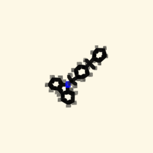 CC(C)(c1ccccc1)c1ccc(C(C)(C)n2c3ccccc3c3ccccc32)cc1